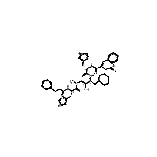 CN(C[C@H](O)[C@H](CC1CCCCC1)NC(=O)[C@H](Cc1c[nH]cn1)NC(=O)C(=Cc1ccccc1)CC(=O)C(C)(C)C)C(=O)[C@H](Cc1c[nH]cn1)NC(=O)CCc1ccccc1